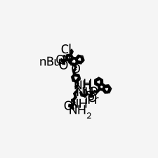 CCCCOC(=O)N1CC(CCl)c2c1cc(OCc1ccc(NC[C@H](CCCNC(N)=O)NC[C@@H](NC(=O)OCC3c4ccccc4-c4ccccc43)C(C)C)cc1)c1ccccc21